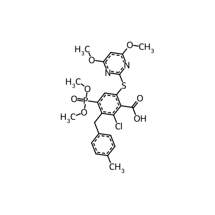 COc1cc(OC)nc(Sc2cc(P(=O)(OC)OC)c(Cc3ccc(C)cc3)c(Cl)c2C(=O)O)n1